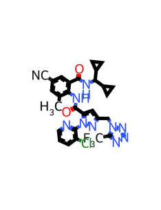 Cc1cc(C#N)cc(C(=O)NC(C2CC2)C2CC2)c1NC(=O)c1cc(Cn2nnnc2C(F)(F)F)nn1-c1ncccc1Cl